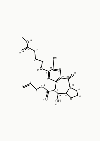 C=CCOC(=O)N1c2cc(OCCCC(=O)OC)c(F)cc2C(=O)N2CCCC2C1O